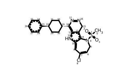 CS(=O)(=O)N1CC=C(Cl)C=c2[nH]c3c(c21)CN=NC=3[C@H]1CC[C@H](c2ccccc2)CC1